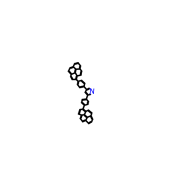 c1cc2ccc3ccc(-c4ccc(-c5cncc(-c6ccc(-c7ccc8ccc9cccc%10ccc7c8c9%10)cc6)c5)cc4)c4ccc(c1)c2c34